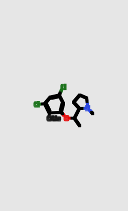 COc1c(Cl)cc(Cl)cc1OC(C)C1CCCN1C